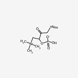 CCCCCCCCCCC(=O)C(C[N+](C)(C)C)OP(=O)([O-])O